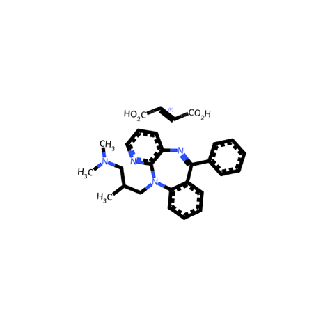 CC(CN(C)C)CN1c2ccccc2C(c2ccccc2)=Nc2cccnc21.O=C(O)/C=C/C(=O)O